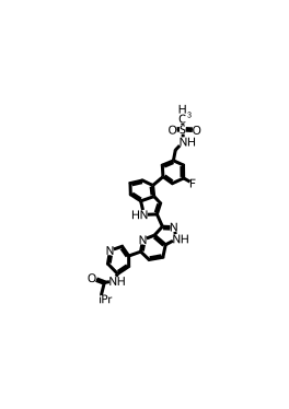 CC(C)C(=O)Nc1cncc(-c2ccc3[nH]nc(-c4cc5c(-c6cc(F)cc(CNS(C)(=O)=O)c6)cccc5[nH]4)c3n2)c1